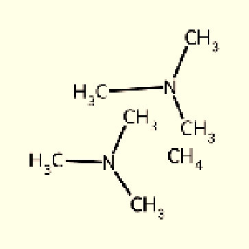 C.CN(C)C.CN(C)C